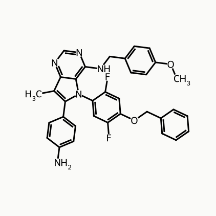 COc1ccc(CNc2ncnc3c(C)c(-c4ccc(N)cc4)n(-c4cc(F)c(OCc5ccccc5)cc4F)c23)cc1